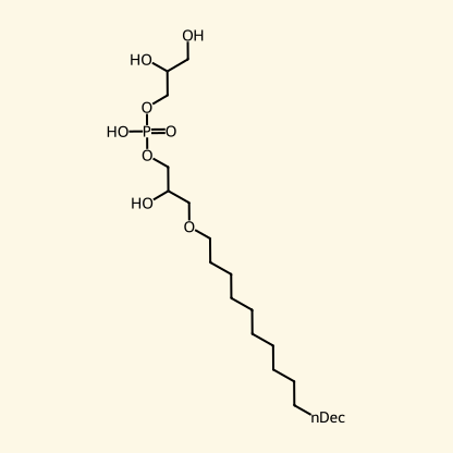 CCCCCCCCCCCCCCCCCCCCOCC(O)COP(=O)(O)OCC(O)CO